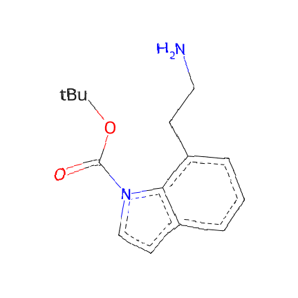 CC(C)(C)OC(=O)n1ccc2cccc(CCN)c21